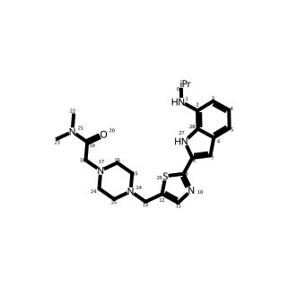 CC(C)Nc1cccc2cc(-c3ncc(CN4CCN(CC(=O)N(C)C)CC4)s3)[nH]c12